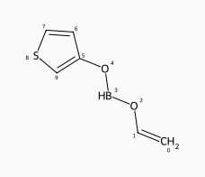 C=COBOc1ccsc1